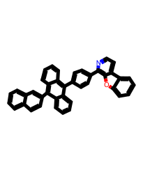 c1ccc2cc(-c3c4ccccc4c(-c4ccc(-c5nccc6c5oc5ccccc56)cc4)c4ccccc34)ccc2c1